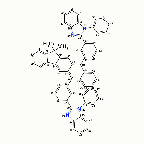 CC1(C)c2ccccc2-c2cc3c(-c4cccc(-c5nc6ccccc6n5-c5ccccc5)c4)c4ccccc4c(-c4cccc(-c5nc6ccccc6n5-c5ccccc5)c4)c3cc21